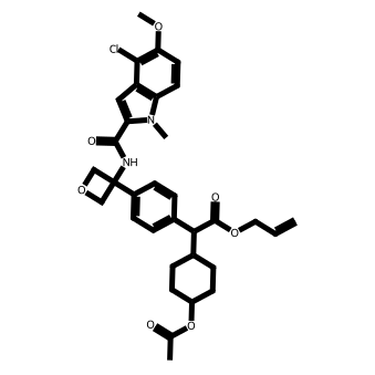 C=CCOC(=O)C(c1ccc(C2(NC(=O)c3cc4c(Cl)c(OC)ccc4n3C)COC2)cc1)C1CCC(OC(C)=O)CC1